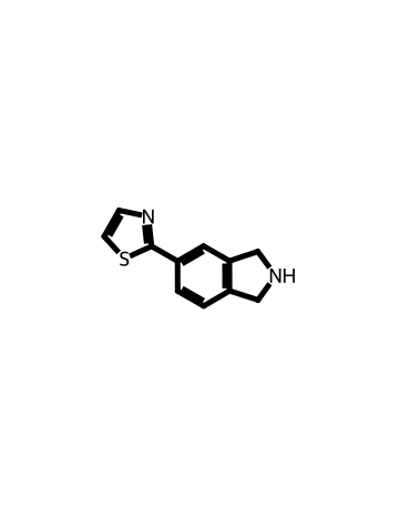 c1csc(-c2ccc3c(c2)CNC3)n1